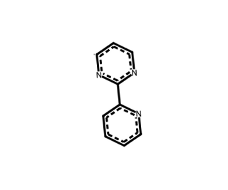 [c]1ccnc(-c2ccccn2)n1